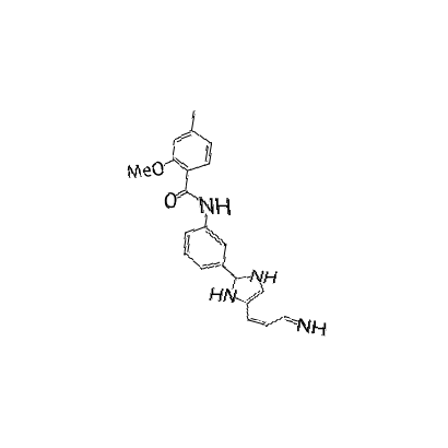 COc1cc(C)ccc1C(=O)Nc1cccc(C2NC=C(/C=C\C=N)N2)c1